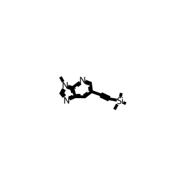 Cn1cnc2cc(C#C[Si](C)(C)C)cnc21